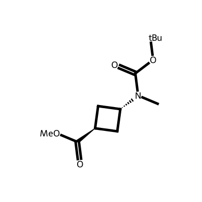 COC(=O)[C@H]1C[C@H](N(C)C(=O)OC(C)(C)C)C1